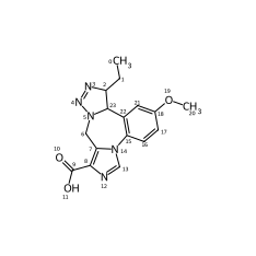 CCC1N=NN2Cc3c(C(=O)O)ncn3-c3ccc(OC)cc3C12